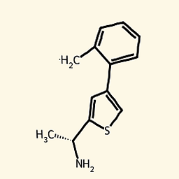 [CH2]c1ccccc1-c1csc([C@@H](C)N)c1